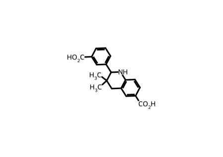 CC1(C)Cc2cc(C(=O)O)ccc2NC1c1cccc(C(=O)O)c1